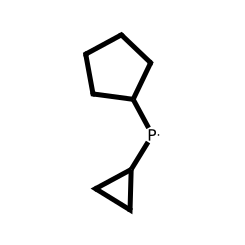 C1CCC([P]C2CC2)C1